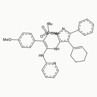 COC(=O)/C(=C(/Nc1ccccn1)Nc1c(C2=CCCCC2)c(-c2ccccc2)nn1C(=O)C(C)(C)C)c1ccc(OC)cc1